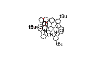 CC(C)(C)c1ccc2c(c1)c1ccccc1n2-c1c(C#N)c(-n2c3ccccc3c3cc(C(C)(C)C)ccc32)c(-n2c3ccccc3c3cc(C(C)(C)C)ccc32)c(-c2ccccc2-n2c3ccccc3c3ccccc32)c1-n1c2ccccc2c2cc(C(C)(C)C)ccc21